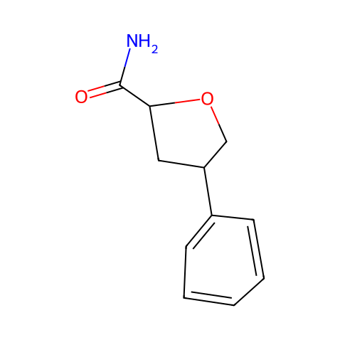 NC(=O)C1CC(c2ccccc2)CO1